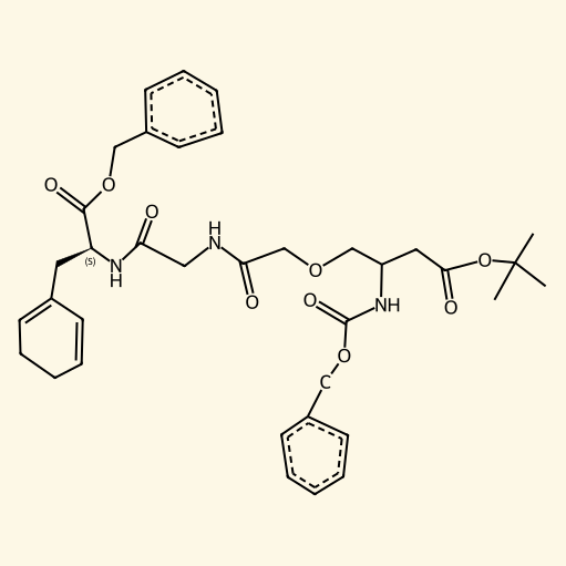 CC(C)(C)OC(=O)CC(COCC(=O)NCC(=O)N[C@@H](CC1=CCCC=C1)C(=O)OCc1ccccc1)NC(=O)OCc1ccccc1